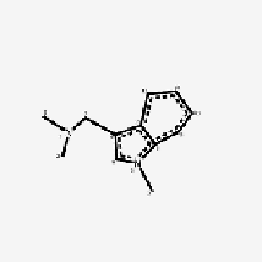 CN(C)Cc1cn(C)c2ccccc12